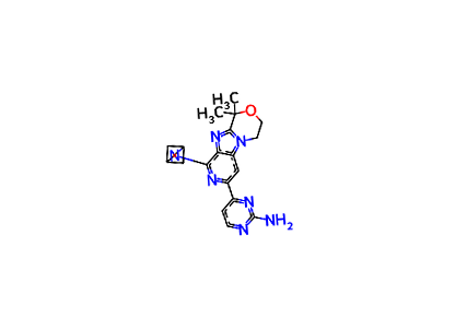 CC1(C)OCCn2c1nc1c(N3CC4CC3C4)nc(-c3ccnc(N)n3)cc12